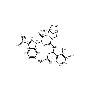 NC(=O)CC(NC(=O)[C@@H]1CC2CC[C@@H](C2)N1C(=O)Cn1nc(C(N)=O)c2ccccc21)c1cccc(Cl)c1F